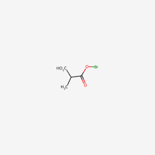 CC(C(=O)O)C(=O)OBr